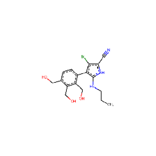 CCCNc1[nH]c(C#N)c(Br)c1-c1ccc(CO)c(CO)c1CO